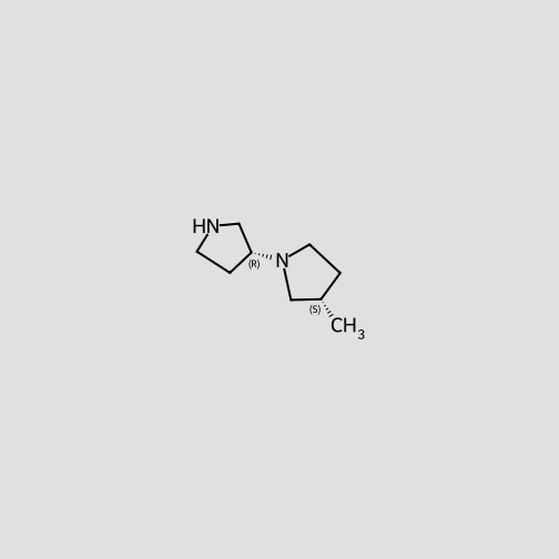 C[C@H]1CCN([C@@H]2CCNC2)C1